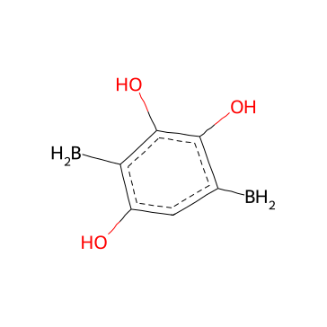 Bc1cc(O)c(B)c(O)c1O